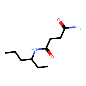 CCCC(CC)NC(=O)CCC(N)=O